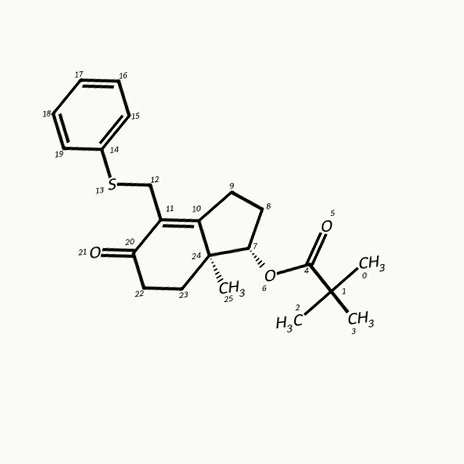 CC(C)(C)C(=O)O[C@H]1CCC2=C(CSc3ccccc3)C(=O)CC[C@@]21C